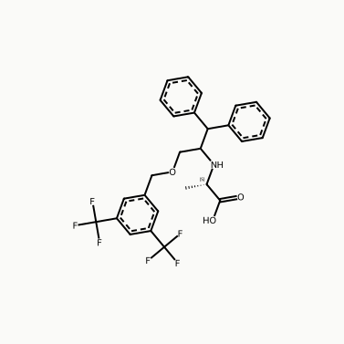 C[C@H](NC(COCc1cc(C(F)(F)F)cc(C(F)(F)F)c1)C(c1ccccc1)c1ccccc1)C(=O)O